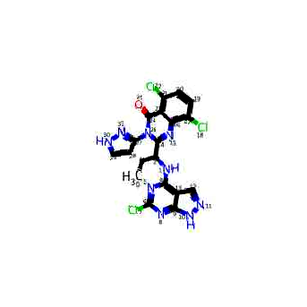 CCC(Nc1nc(Cl)nc2[nH]ncc12)c1nc2c(Cl)ccc(Cl)c2c(=O)n1-c1cc[nH]n1